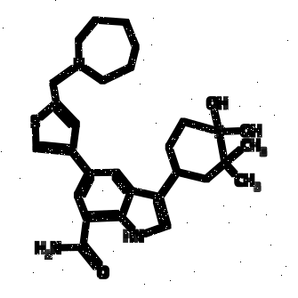 CC1(C)CC(c2c[nH]c3c(C(N)=O)cc(-c4csc(CN5CCCCCC5)c4)cc23)CCS1(O)O